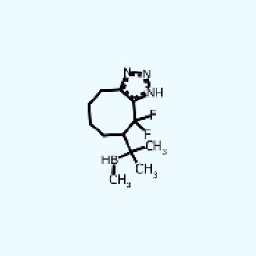 CBC(C)(C)C1CCCCc2nn[nH]c2C1(F)F